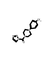 O=C(N1CCN(c2ccc(C(F)(F)F)cc2)CC1)n1ccnn1